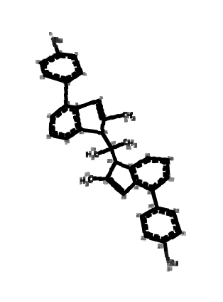 CC1=Cc2c(-c3ccc(C(C)(C)C)cc3)cccc2C1C(C)(C)C1C(C)=Cc2c(-c3ccc(C(C)(C)C)cc3)cccc21